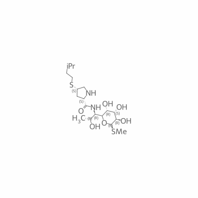 CS[C@H]1OC([C@H](NC(=O)[C@@H]2C[C@H](SCCC(C)C)CN2)[C@@H](C)O)[C@H](O)[C@H](O)[C@H]1O